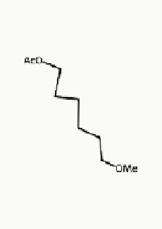 COCCCCCCOC(C)=O